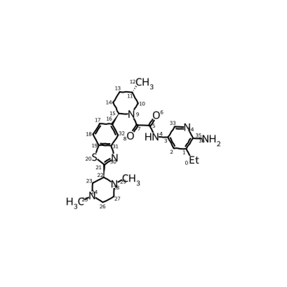 CCc1cc(NC(=O)C(=O)N2C[C@@H](C)CC[C@@H]2c2ccc3sc([C@@H]4CN(C)CCN4C)nc3c2)cnc1N